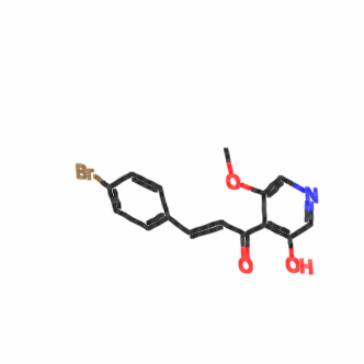 COc1cncc(O)c1C(=O)C=Cc1ccc(Br)cc1